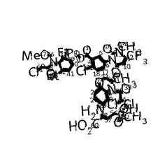 CC(C)OC(=O)c1cc(-n2c(=O)cc(C(F)(F)F)n(C)c2=O)ccc1Cl.CC1COc2ccccc2N1C(=O)C(Cl)Cl.CCc1cccc(CC)c1N(COC)C(=O)CCl.CP(=O)(O)CCC(N)C(=O)O